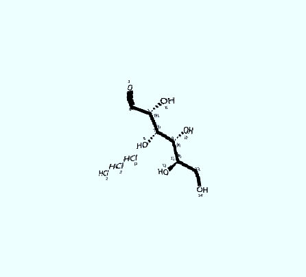 Cl.Cl.Cl.O=C[C@H](O)[C@@H](O)[C@H](O)[C@H](O)CO